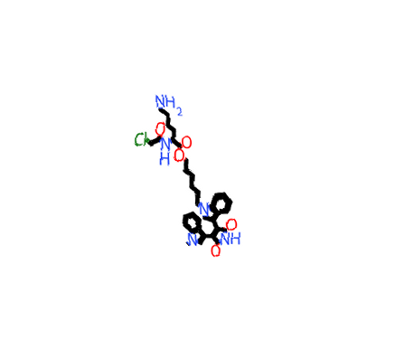 Cn1cc(C2=C(c3cn(CCCCCCOC(=O)C(CCCCN)NC(=O)CCl)c4ccccc34)C(=O)NC2=O)c2ccccc21